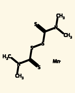 CN(C)C(=S)SSC(=S)N(C)C.[Mn]